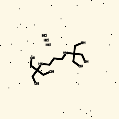 Cl.Cl.Cl.OCC(CO)(CO)NCCCNC(CO)(CO)CO